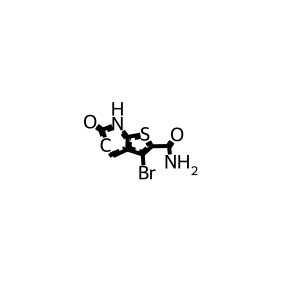 NC(=O)c1sc2[nH]c(=O)ccc2c1Br